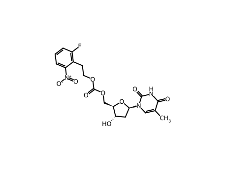 Cc1cn([C@H]2C[C@H](O)[C@@H](COC(=O)OCCc3c(F)cccc3[N+](=O)[O-])O2)c(=O)[nH]c1=O